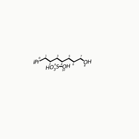 CC(C)CCCCCCCO.O=S(=O)(O)O